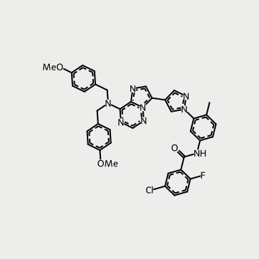 COc1ccc(CN(Cc2ccc(OC)cc2)c2ncnn3c(-c4cnn(-c5cc(NC(=O)c6cc(Cl)ccc6F)ccc5C)c4)cnc23)cc1